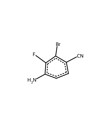 N#Cc1ccc(N)c(F)c1Br